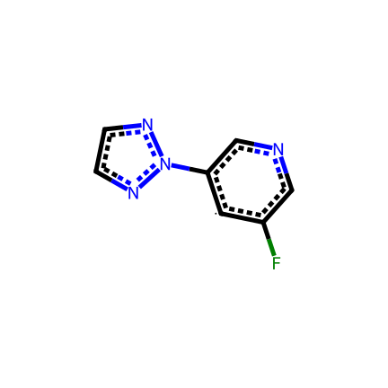 Fc1[c]c(-n2nccn2)cnc1